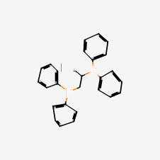 [Pd][CH](CP(c1ccccc1)c1ccccc1)P(c1ccccc1)c1ccccc1